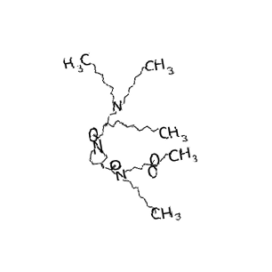 CCCCCCCCC/C(=C\CC(=O)N1CCC/C(=C/C(=O)CN(CCCCCCCCC)CCCCCC(=O)OCCC)CC1)CCN(CCCCCCCCC)CCCCCCCCC